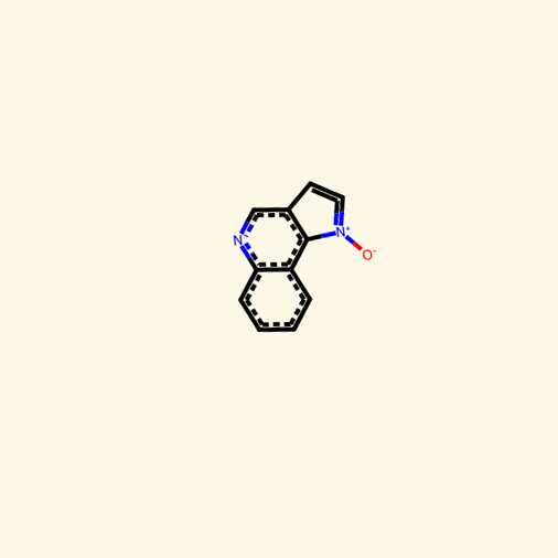 [O-][N+]1=C=Cc2cnc3ccccc3c21